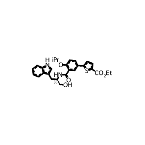 CCOC(=O)c1ccc(-c2ccc(OC(C)C)c(C(=O)N[C@@H](CO)Cc3c[nH]c4ccccc34)c2)s1